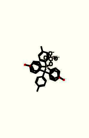 Cc1ccc(C(c2ccc(C)cc2)(c2ccc(C)cc2)P(O[Cl+3]([O-])([O-])[O-])(c2ccc(C)cc2)(c2ccc(C)cc2)c2ccc(C)cc2)cc1